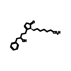 O=C(O)CCCCCC[C@H]1C(=O)CC=C1CCC(O)Cc1ccccc1